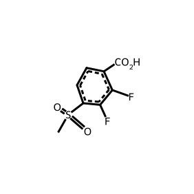 CS(=O)(=O)c1ccc(C(=O)O)c(F)c1F